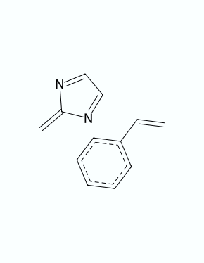 C=C1N=CC=N1.C=Cc1ccccc1